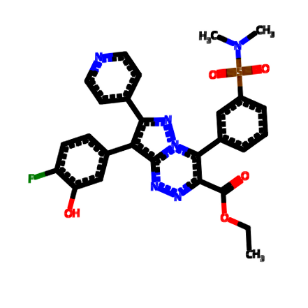 CCOC(=O)c1nnc2c(-c3ccc(F)c(O)c3)c(-c3ccncc3)nn2c1-c1cccc(S(=O)(=O)N(C)C)c1